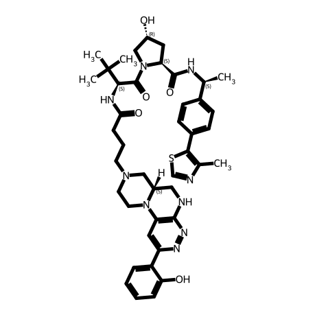 Cc1ncsc1-c1ccc([C@H](C)NC(=O)[C@@H]2C[C@@H](O)CN2C(=O)[C@@H](NC(=O)CCCN2CCN3c4cc(-c5ccccc5O)nnc4NC[C@H]3C2)C(C)(C)C)cc1